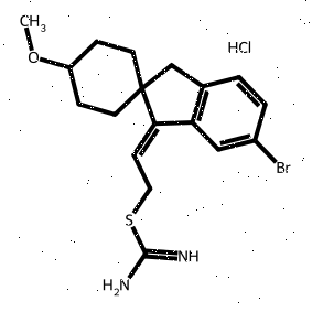 COC1CCC2(CC1)Cc1ccc(Br)cc1/C2=C\CSC(=N)N.Cl